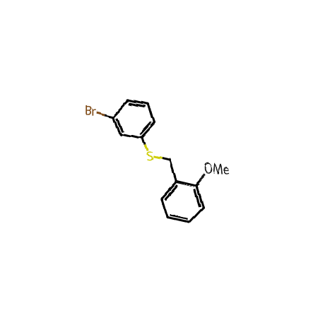 COc1ccccc1CSc1cccc(Br)c1